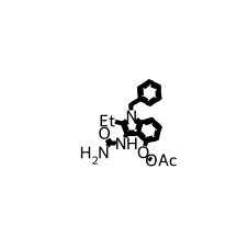 CCc1c(NC(N)=O)c2c(OOC(C)=O)cccc2n1Cc1ccccc1